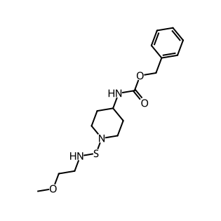 COCCNSN1CCC(NC(=O)OCc2ccccc2)CC1